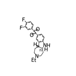 CCN1CC[C@@H]2Nc3ccc(S(=O)(=O)c4ccc(F)c(F)c4)cc3[C@H]2CC1